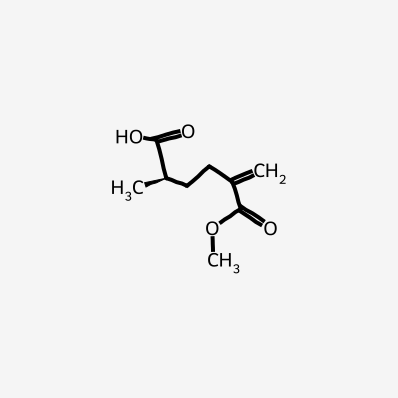 C=C(CC[C@@H](C)C(=O)O)C(=O)OC